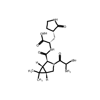 COC(=O)[C@H](C[C@@H]1CCNC1=O)NC(=O)[C@@H]1[C@@H]2[C@H](CN1C(=O)C(N)C(C)(C)C)C2(C)C